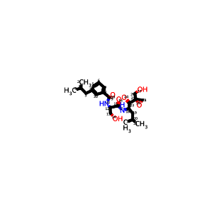 CC(C)Cc1cccc(C(=O)NC(CO)C(=O)NC(CC(C)C)C(=O)C2(CO)CO2)c1